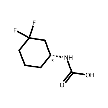 O=C(O)N[C@@H]1CCCC(F)(F)C1